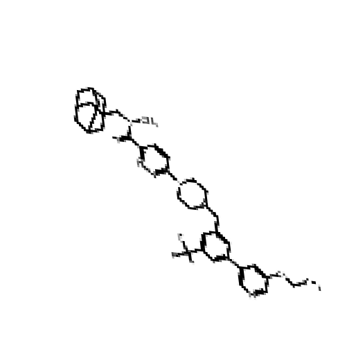 CCOc1cncc(-c2cc(CN3CCN(c4ccc(C(=O)N(C)CC56CC7CC(CC(C7)C5)C6)nn4)CC3)cc(C(F)(F)F)c2)c1